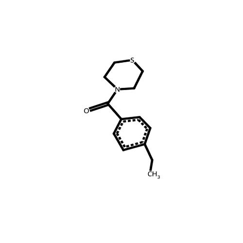 CCc1ccc(C(=O)N2CCSCC2)cc1